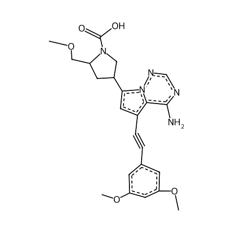 COCC1CC(c2cc(C#Cc3cc(OC)cc(OC)c3)c3c(N)ncnn23)CN1C(=O)O